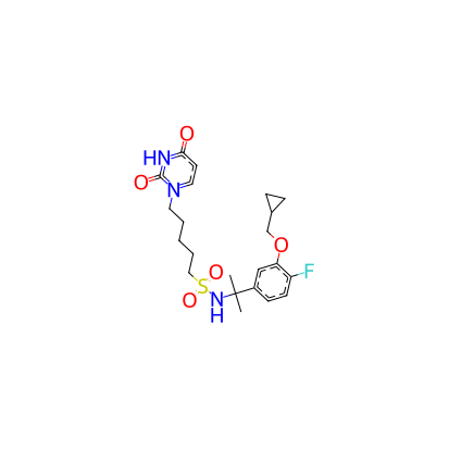 CC(C)(NS(=O)(=O)CCCCCn1ccc(=O)[nH]c1=O)c1ccc(F)c(OCC2CC2)c1